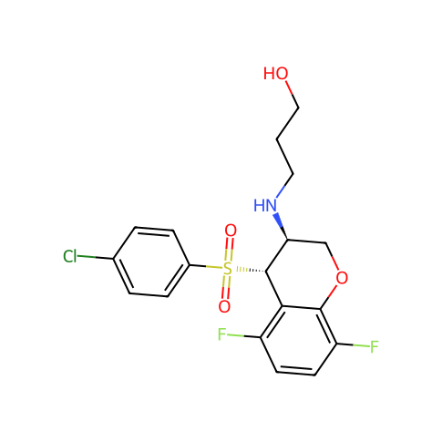 O=S(=O)(c1ccc(Cl)cc1)[C@H]1c2c(F)ccc(F)c2OC[C@@H]1NCCCO